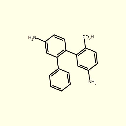 Nc1ccc(C(=O)O)c(-c2ccc(N)cc2-c2ccccc2)c1